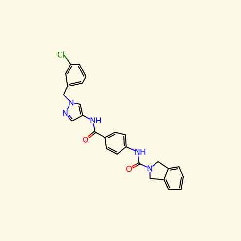 O=C(Nc1cnn(Cc2cccc(Cl)c2)c1)c1ccc(NC(=O)N2Cc3ccccc3C2)cc1